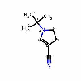 CC(C)(C)N1C=C(C#N)CC1